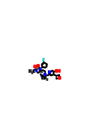 C[C@H]1C[C@]2(CCN1Cc1cc(C3COC3)c(O)cn1)CN(C)S(=O)(=O)N2c1cccc(F)c1